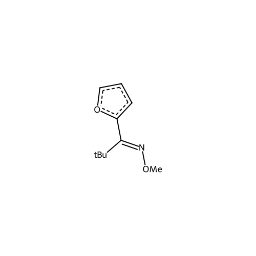 CON=C(c1ccco1)C(C)(C)C